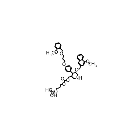 COc1ccccc1COCCCOc1ccc(C2C(COC(=O)OCCCON(O)O)CNCC2OCc2cc(OC)c3ccccc3c2)cc1